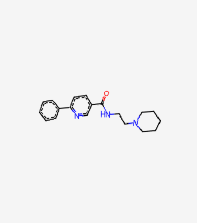 O=C(NCCN1CCCCC1)c1ccc(-c2ccccc2)nc1